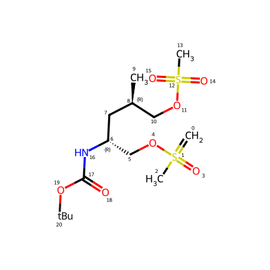 C=S(C)(=O)OC[C@@H](C[C@@H](C)COS(C)(=O)=O)NC(=O)OC(C)(C)C